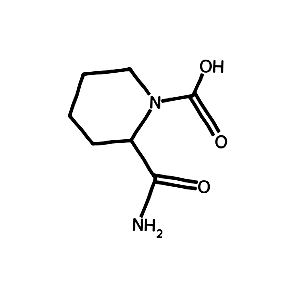 NC(=O)C1CCCCN1C(=O)O